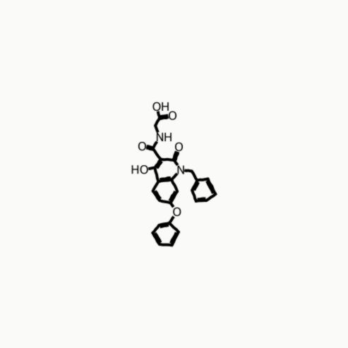 O=C(O)CNC(=O)c1c(O)c2ccc(Oc3ccccc3)cc2n(Cc2ccccc2)c1=O